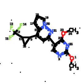 COc1ncc(-c2cc(C3CC3C(F)(F)F)c3cccn3n2)c(OC)n1